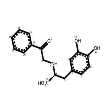 O=C(CN[C@@H](Cc1ccc(O)c(O)c1)C(=O)O)c1ccccc1